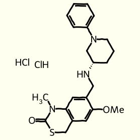 COc1cc2c(cc1CN[C@H]1CCCN(c3ccccc3)C1)N(C)C(=O)SC2.Cl.Cl